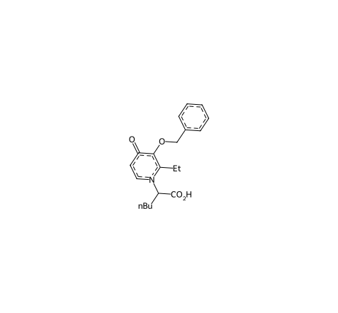 CCCCC(C(=O)O)n1ccc(=O)c(OCc2ccccc2)c1CC